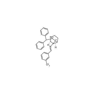 FC(F)(F)c1cccc(C=N[C@@H]2C3CCN(CC3)[C@@H]2C(c2ccccc2)c2ccccc2)c1